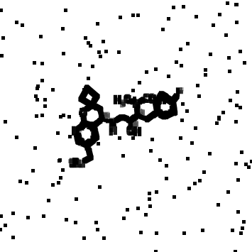 CN(C(=O)O)[C@@H](Cc1ccc(F)cc1)[C@@H](O)CN[C@H]1CC2(CCC2)Oc2ncc(CC(C)(C)C)cc21